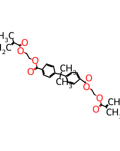 C=C(C)C(=O)OCCOC(=O)c1ccc(C(C)(C)c2ccc(C(=O)OCCOC(=O)C(=C)C)cc2)cc1